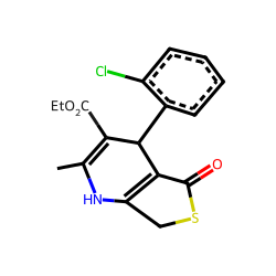 CCOC(=O)C1=C(C)NC2=C(C(=O)SC2)C1c1ccccc1Cl